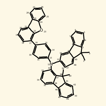 CC1(C)c2ccccc2-c2cc(N(c3ccc(-c4cccc5c4oc4ccccc45)cc3)c3cccc4c3C(C)(C)c3ccccc3-4)ccc21